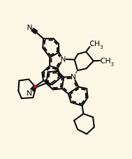 CC1CC(n2c3ccc(C#N)cc3c3cc(C#N)ccc32)[C@@H](n2c3ccc(C4CCCCC4)cc3c3cc(C4CCCCC4)ccc32)CC1C